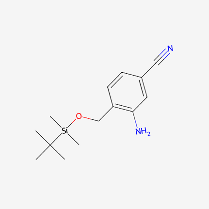 CC(C)(C)[Si](C)(C)OCc1ccc(C#N)cc1N